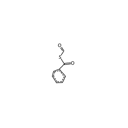 O=CSC(=O)c1ccccc1